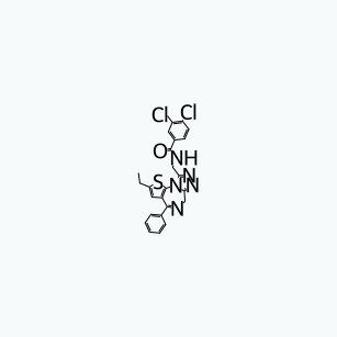 CCc1cc2c(s1)-n1c(nnc1CNC(=O)c1ccc(Cl)c(Cl)c1)CN=C2c1ccccc1